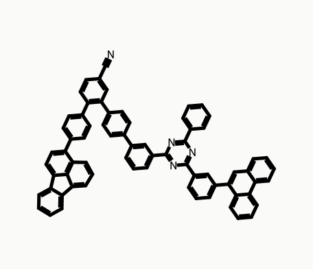 N#Cc1ccc(-c2ccc(-c3ccc4c5c(cccc35)-c3ccccc3-4)cc2)c(-c2ccc(-c3cccc(-c4nc(-c5ccccc5)nc(-c5cccc(-c6cc7ccccc7c7ccccc67)c5)n4)c3)cc2)c1